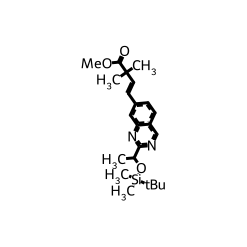 COC(=O)C(C)(C)C=Cc1ccc2cnc(C(C)O[Si](C)(C)C(C)(C)C)nc2c1